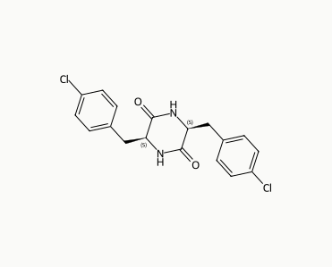 O=C1N[C@@H](Cc2ccc(Cl)cc2)C(=O)N[C@H]1Cc1ccc(Cl)cc1